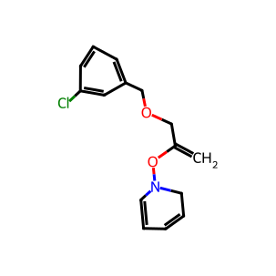 C=C(COCc1cccc(Cl)c1)ON1C=CC=CC1